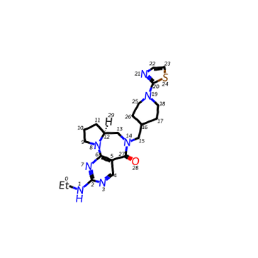 CCNc1ncc2c(n1)N1CCC[C@H]1CN(CC1CCN(c3nccs3)CC1)C2=O